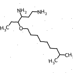 CCC(OCCCCCCCC(C)C)C(N)CCN